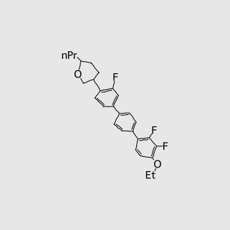 CCCC1CCC(c2ccc(-c3ccc(-c4ccc(OCC)c(F)c4F)cc3)cc2F)CO1